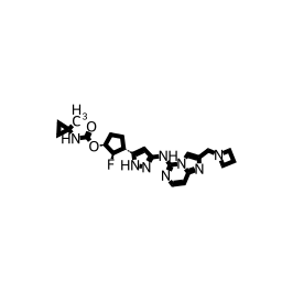 CC1(NC(=O)O[C@@H]2CC[C@H](c3cc(Nc4nccc5nc(CN6CCC6)cn45)n[nH]3)[C@H]2F)CC1